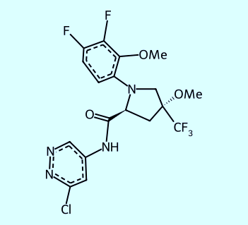 COc1c(N2C[C@@](OC)(C(F)(F)F)C[C@H]2C(=O)Nc2cnnc(Cl)c2)ccc(F)c1F